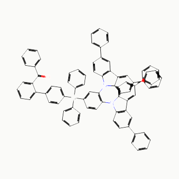 O=C(c1ccccc1)c1ccccc1-c1ccc([Si](c2ccccc2)(c2ccccc2)c2ccc(-n3c4ccc(-c5ccccc5)cc4c4cc(-c5ccccc5)ccc43)c(-n3c4ccc(-c5ccccc5)cc4c4cc(-c5ccccc5)ccc43)c2)cc1